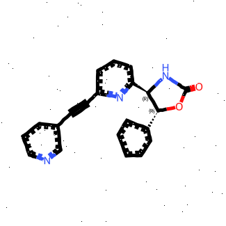 O=C1N[C@H](c2cccc(C#Cc3cccnc3)n2)[C@@H](c2ccccc2)O1